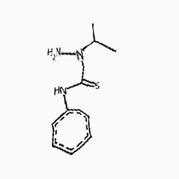 CC(C)N(N)C(=S)Nc1ccccc1